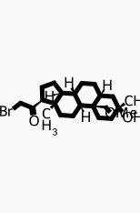 COC[C@]12CC[C@@](C)(O)C[C@@H]1CC[C@H]1[C@@H]3CC[C@H](C(=O)CBr)[C@@]3(C)CC[C@@H]12